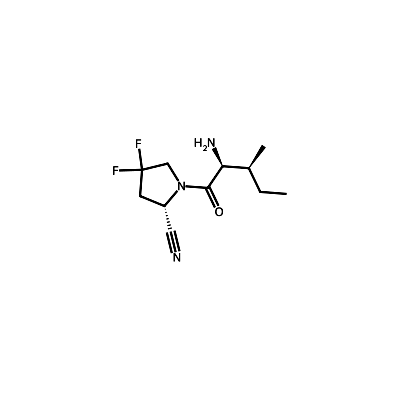 CC[C@H](C)[C@H](N)C(=O)N1CC(F)(F)C[C@H]1C#N